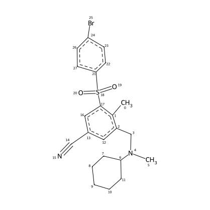 Cc1c(CN(C)C2CCCCC2)cc(C#N)cc1S(=O)(=O)c1ccc(Br)cc1